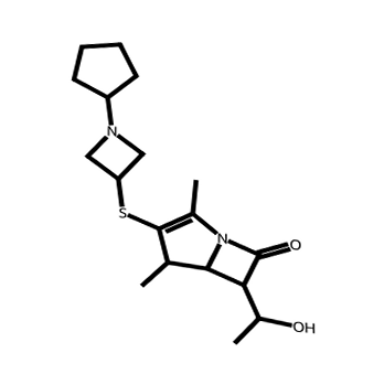 CC1=C(SC2CN(C3CCCC3)C2)C(C)C2C(C(C)O)C(=O)N12